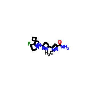 Cn1nc(C(N)=O)cc1-c1ccc(NCC2(c3ncccc3F)CCC2)nn1